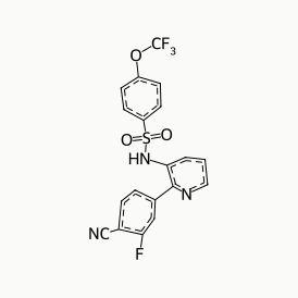 N#Cc1ccc(-c2ncccc2NS(=O)(=O)c2ccc(OC(F)(F)F)cc2)cc1F